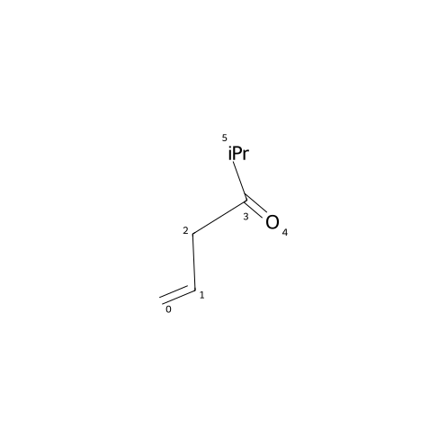 C=CCC(=O)C(C)C